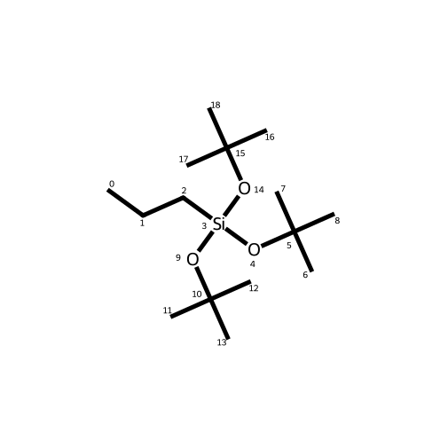 CCC[Si](OC(C)(C)C)(OC(C)(C)C)OC(C)(C)C